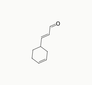 O=C/C=C/C1CC=CCC1